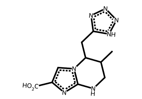 CC1CNc2nc(C(=O)O)cn2C1Cc1nnn[nH]1